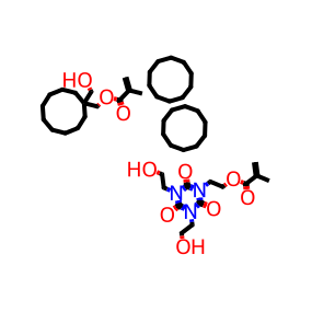 C1CCCCCCCCC1.C1CCCCCCCCC1.C=C(C)C(=O)OCC1(CO)CCCCCCCCC1.C=C(C)C(=O)OCCn1c(=O)n(CCO)c(=O)n(CCO)c1=O